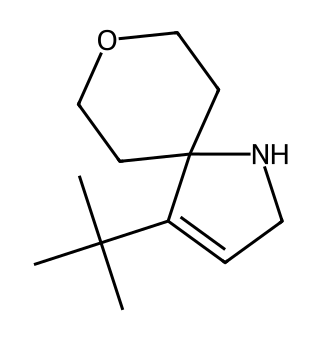 CC(C)(C)C1=CCNC12CCOCC2